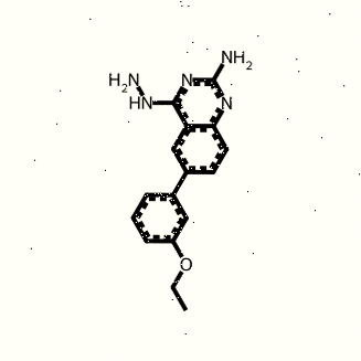 CCOc1cccc(-c2ccc3nc(N)nc(NN)c3c2)c1